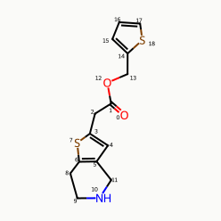 O=C(Cc1cc2c(s1)CCNC2)OCc1cccs1